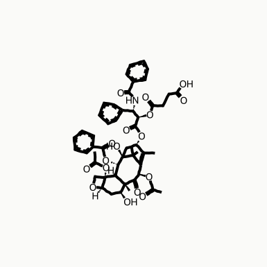 CC(=O)O[C@H]1C(=O)[C@@]2(C)[C@H]([C@H](OC(=O)c3ccccc3)[C@]3(O)C[C@H](OC(=O)[C@H](OC(=O)CCC(=O)O)[C@@H](NC(=O)c4ccccc4)c4ccccc4)C(C)=C1C3(C)C)[C@]1(OC(C)=O)CO[C@@H]1C[C@@H]2O